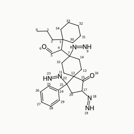 CCCC1(C(C=O)C2(N=N)CCC3(CC2)C(=O)C(N=N)CC3(N=N)c2ccccc2)CCCCC1